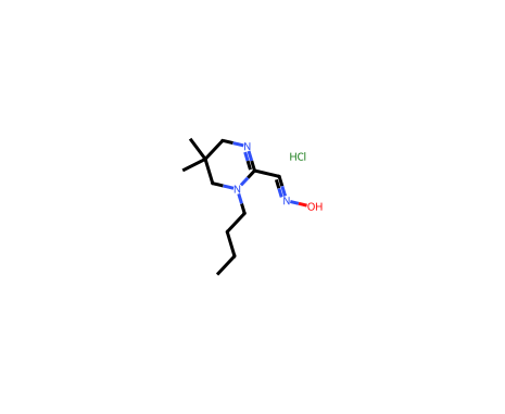 CCCCN1CC(C)(C)CN=C1C=NO.Cl